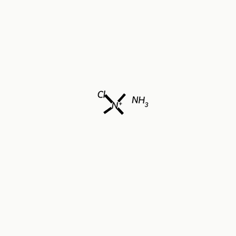 C[N+](C)(C)Cl.N